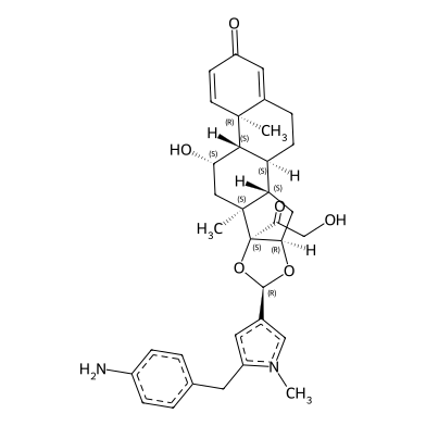 Cn1cc([C@@H]2O[C@@H]3C[C@H]4[C@@H]5CCC6=CC(=O)C=C[C@]6(C)[C@H]5[C@@H](O)C[C@]4(C)[C@]3(C(=O)CO)O2)cc1Cc1ccc(N)cc1